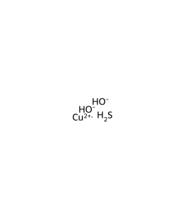 S.[Cu+2].[OH-].[OH-]